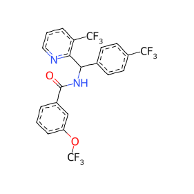 O=C(NC(c1ccc(C(F)(F)F)cc1)c1ncccc1C(F)(F)F)c1cccc(OC(F)(F)F)c1